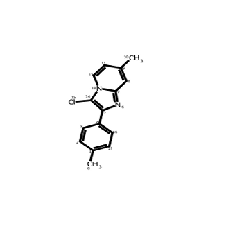 Cc1ccc(-c2nc3cc(C)ccn3c2Cl)cc1